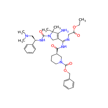 CCOC(=O)C/N=C(/NC(=O)[C@@H]1CCCN(C(=O)OCc2ccccc2)C1)C1=C(N)C(C)(C)N(C(=O)N[C@H](CN(C)C)c2ccccc2)C1